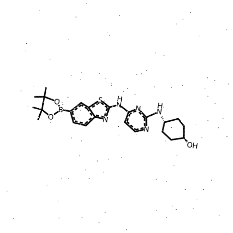 CC1(C)OB(c2ccc3nc(Nc4ccnc(N[C@H]5CC[C@H](O)CC5)n4)sc3c2)OC1(C)C